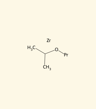 CC(C)[O][Pr].[Zr]